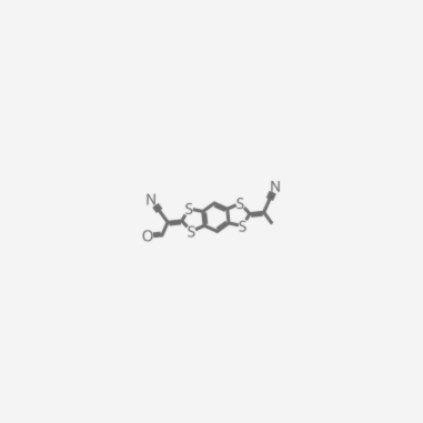 CC(C#N)=C1Sc2cc3c(cc2S1)SC(=C(C#N)C=O)S3